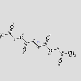 CC(=O)COC(=O)/C=C/C(=O)OCC(C)=O